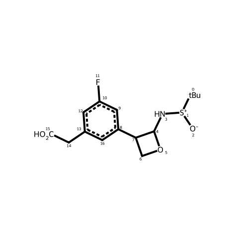 CC(C)(C)[S+]([O-])NC1OCC1c1cc(F)cc(CC(=O)O)c1